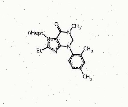 CCCCCCCn1c(CC)nc2c1C(=O)N(C)CN2c1ccc(C)cc1C